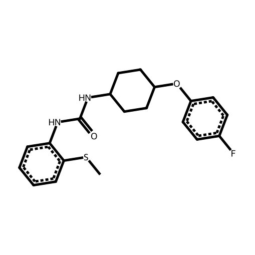 CSc1ccccc1NC(=O)NC1CCC(Oc2ccc(F)cc2)CC1